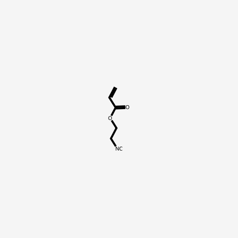 [C-]#[N+]CCOC(=O)C=C